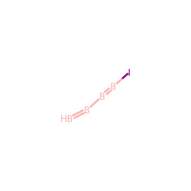 B=BB=BI